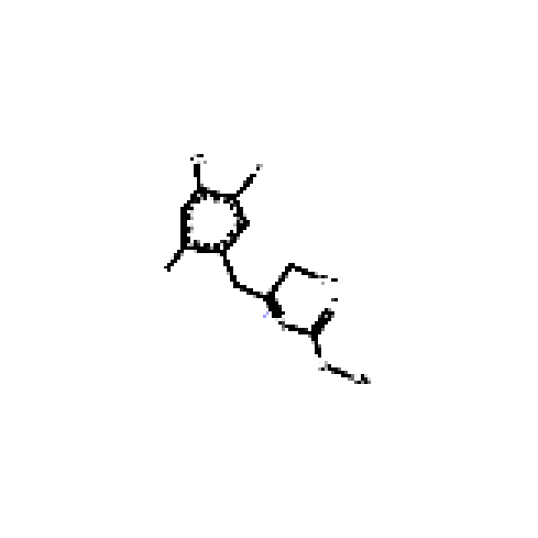 Cc1cc(C#N)c(F)cc1C/C(CO)=N/C(=O)OC(C)(C)C